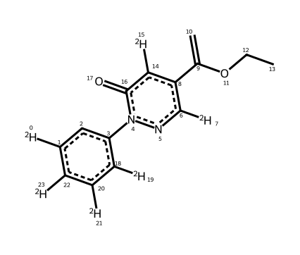 [2H]c1cc(-n2nc([2H])c(C(=C)OCC)c([2H])c2=O)c([2H])c([2H])c1[2H]